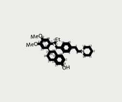 CCN(Cc1ccc(CCN2CCCCC2)cc1)C1C=C(OC)C(OC)=CC1[C@@H]1CCc2cc(O)ccc2C1